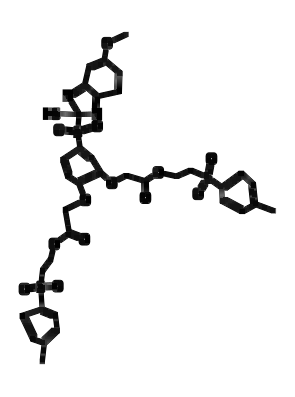 COc1ccc2c(c1)=NC(S)(S(=O)(=O)c1ccc(OCC(=O)OCCS(=O)(=O)c3ccc(C)cc3)c(OCC(=O)OCCS(=O)(=O)c3ccc(C)cc3)c1)N=2